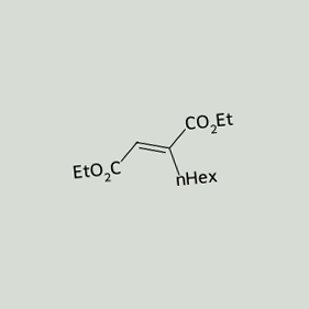 CCCCCC/C(=C\C(=O)OCC)C(=O)OCC